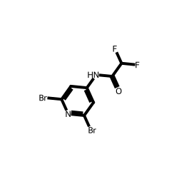 O=C(Nc1cc(Br)nc(Br)c1)C(F)F